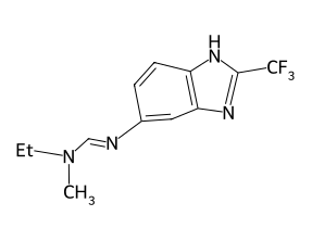 CCN(C)C=Nc1ccc2[nH]c(C(F)(F)F)nc2c1